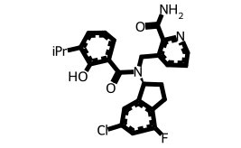 CC(C)c1cccc(C(=O)N(Cc2cccnc2C(N)=O)[C@@H]2CCc3c(F)cc(Cl)cc32)c1O